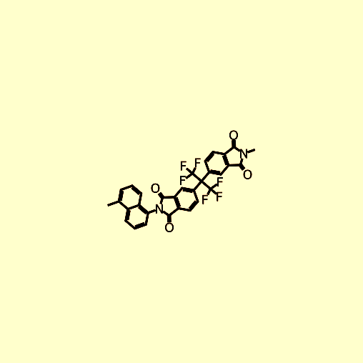 Cc1cccc2c(N3C(=O)c4ccc(C(c5ccc6c(c5)C(=O)N(C)C6=O)(C(F)(F)F)C(F)(F)F)cc4C3=O)cccc12